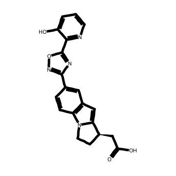 O=C(O)C[C@H]1CCn2c1cc1cc(-c3noc(-c4ncccc4O)n3)ccc12